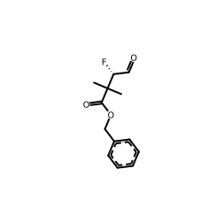 CC(C)(C(=O)OCc1ccccc1)[C@H](F)C=O